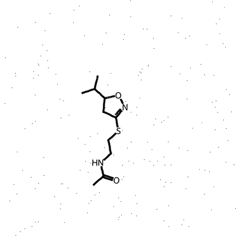 CC(=O)NCCSC1=NOC(C(C)C)C1